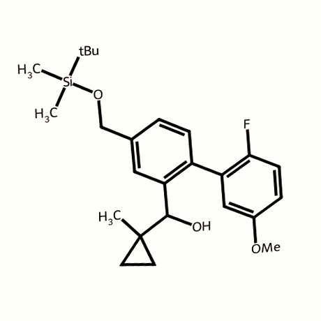 COc1ccc(F)c(-c2ccc(CO[Si](C)(C)C(C)(C)C)cc2C(O)C2(C)CC2)c1